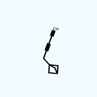 C#CC#CCC12CC(C1)C2